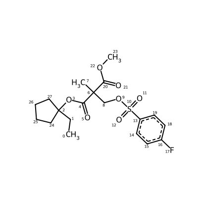 CCC1(OC(=O)C(C)(COS(=O)(=O)c2ccc(F)cc2)C(=O)OC)CCCC1